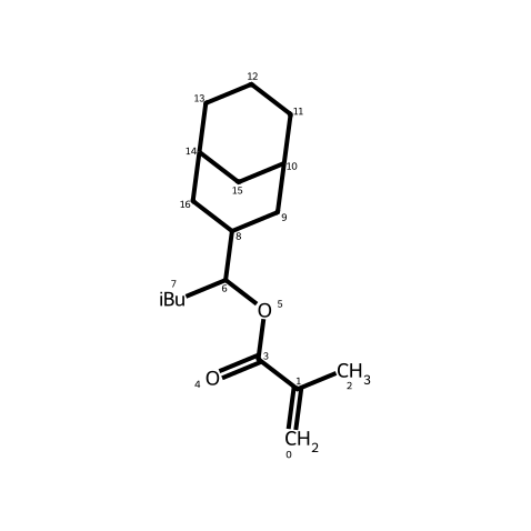 C=C(C)C(=O)OC(C(C)CC)C1CC2CCCC(C2)C1